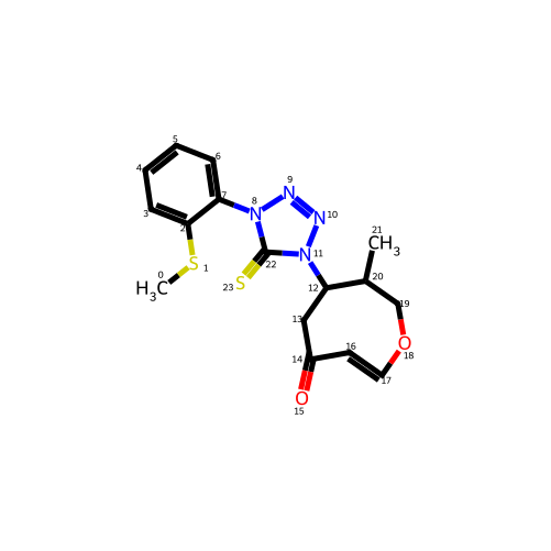 CSc1ccccc1-n1nnn(C2CC(=O)/C=C/OCC2C)c1=S